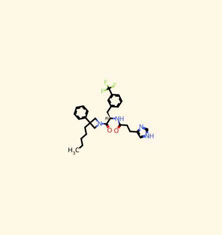 CCCCCC1(c2ccccc2)CN(C(=O)[C@@H](Cc2cccc(C(F)(F)F)c2)NC(=O)CCc2c[nH]cn2)C1